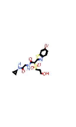 O=C(CNC(=O)C(c1nc2ccc(Br)cc2s1)S(=O)(=O)CCCO)NC1CC1